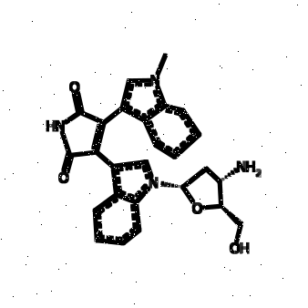 Cn1cc(C2=C(c3cn([C@@H]4C[C@H](N)[C@@H](CO)O4)c4ccccc34)C(=O)NC2=O)c2ccccc21